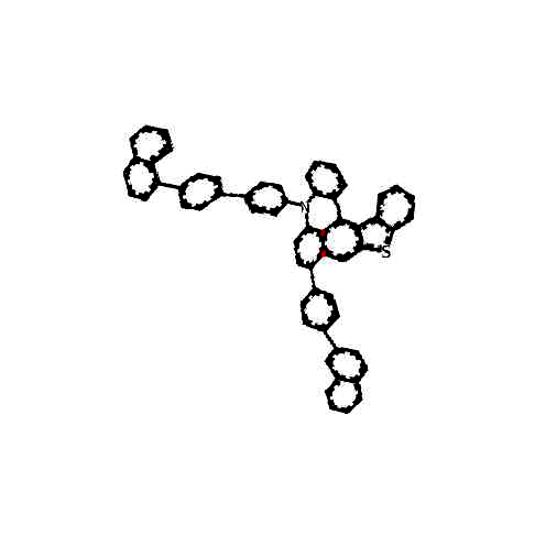 c1ccc(N(c2ccc(-c3ccc(-c4ccc5ccccc5c4)cc3)cc2)c2ccc(-c3ccc(-c4cccc5ccccc45)cc3)cc2)c(-c2cccc3sc4ccccc4c23)c1